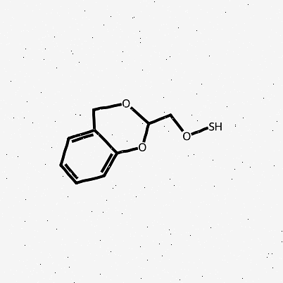 SOCC1OCc2ccccc2O1